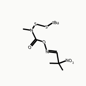 CN(SSC(C)(C)C)C(=O)ON=CC(C)(C)[N+](=O)[O-]